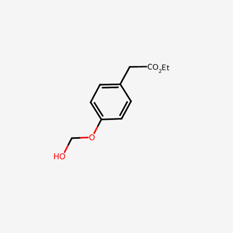 CCOC(=O)Cc1ccc(OCO)cc1